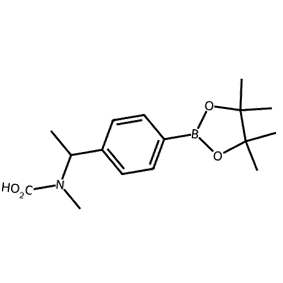 CC(c1ccc(B2OC(C)(C)C(C)(C)O2)cc1)N(C)C(=O)O